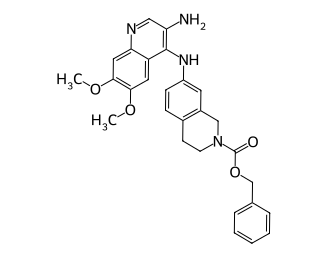 COc1cc2ncc(N)c(Nc3ccc4c(c3)CN(C(=O)OCc3ccccc3)CC4)c2cc1OC